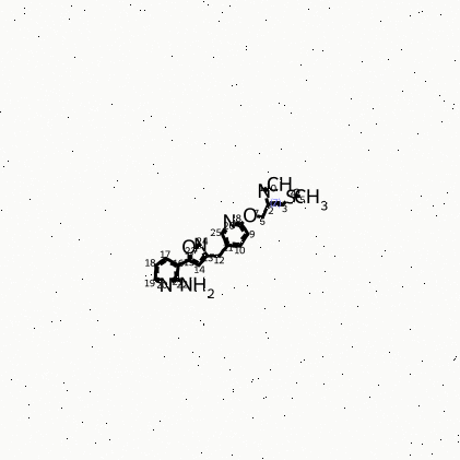 C=N/C(=C\SC)COc1ccc(Cc2cc(-c3cccnc3N)on2)cn1